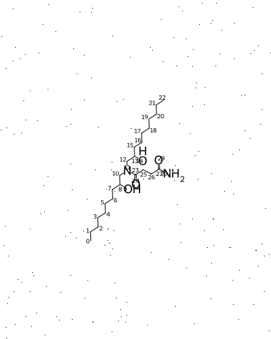 CCCCCCCCC(O)CN(CC(O)CCCCCCCC)C(=O)CCC(N)=O